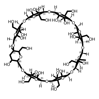 CC1[C@@H]2OC(CO)[C@@H](O[C@H]3OC(CO)[C@@H](O[C@H]4OC(CO)[C@@H](O[C@H]5OC(CO)[C@H](CC5O)O[C@H]5OC(CO)[C@@H](O[C@H]6OC(CO)[C@@H](O[C@H]7OC(CO)[C@@H](O[C@H]8OC(CO)[C@@H](O2)[C@H](O)C8O)[C@H](O)C7O)[C@H](O)C6O)[C@H](O)C5O)[C@H](O)C4O)[C@H](O)C3O)[C@@H]1O